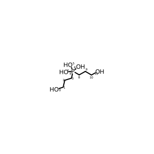 OCCCP(O)(O)(O)CCCO